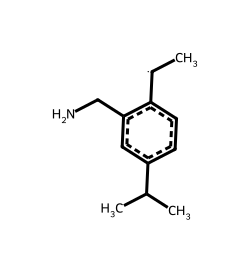 C[CH]c1ccc(C(C)C)cc1CN